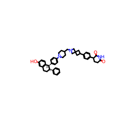 O=C1CCC(c2ccc(C3CC4(C3)CN(CC3CCN(c5ccc([C@@H]6c7ccc(O)cc7CC[C@@H]6c6ccccc6)cc5)CC3)C4)cc2)C(=O)N1